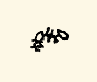 O=C(NNC(=O)[C@@H]1CC[C@@H]2CN1C(=O)N2OS(=O)(=O)O)c1ccccn1